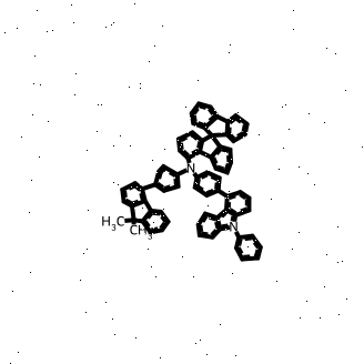 CC1(C)c2ccccc2-c2c(-c3ccc(N(c4ccc(-c5cccc6c5c5ccccc5n6-c5ccccc5)cc4)c4cccc5c4-c4ccccc4C54c5ccccc5-c5ccccc54)cc3)cccc21